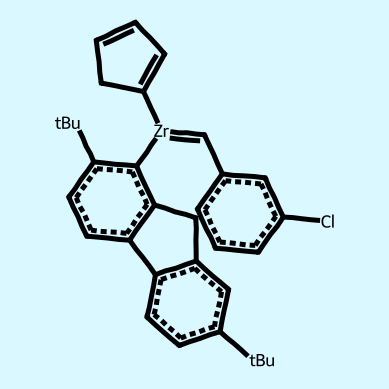 CC(C)(C)c1ccc2c(c1)Cc1c-2ccc(C(C)(C)C)[c]1/[Zr](=[CH]\c1cccc(Cl)c1)[C]1=CC=CC1